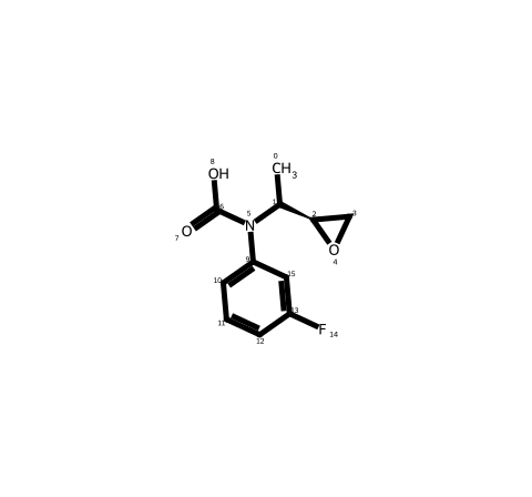 CC([C@H]1CO1)N(C(=O)O)c1cccc(F)c1